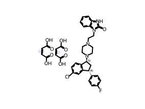 O=C(O)/C=C\C(=O)O.O=C(O)/C=C\C(=O)O.O=c1[nH]c2ccccc2n1CCN1CCN([C@H]2C[C@H](c3ccc(F)cc3)c3cc(Cl)ccc32)CC1